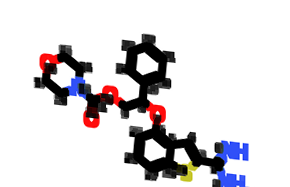 N=C(N)c1cc2c(OC(COC(=O)N3CCOCC3)c3ccccc3)cccc2s1